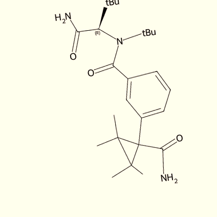 CC(C)(C)[C@H](C(N)=O)N(C(=O)c1cccc(C2(C(N)=O)C(C)(C)C2(C)C)c1)C(C)(C)C